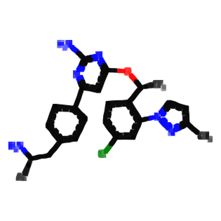 CC(=O)[C@@H](N)Cc1ccc(-c2cc(O[C@H](c3ccc(Cl)cc3-n3ccc(C)n3)C(F)(F)F)nc(N)n2)cc1